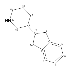 c1ccc2c(c1)CN(C1CCCNC1)C2